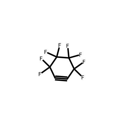 FC1(F)C#CC(F)(F)C(F)(F)C1(F)F